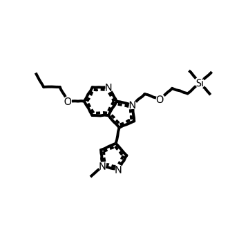 CCCOc1cnc2c(c1)c(-c1cnn(C)c1)cn2COCC[Si](C)(C)C